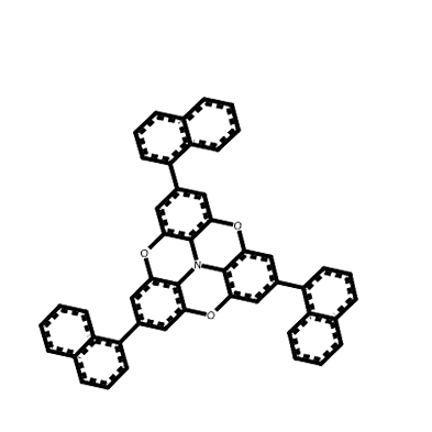 c1ccc2c(-c3cc4c5c(c3)Oc3cc(-c6cccc7ccccc67)cc6c3N5c3c(cc(-c5cccc7ccccc57)cc3O6)O4)cccc2c1